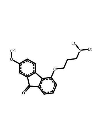 CCCOc1ccc2c(c1)C(=O)c1cccc(OCCCN(CC)CC)c1-2